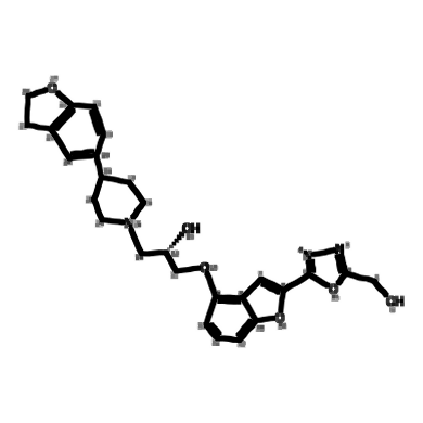 OCc1nnc(-c2cc3c(OC[C@@H](O)CN4CCC(c5ccc6c(c5)CCO6)CC4)cccc3o2)o1